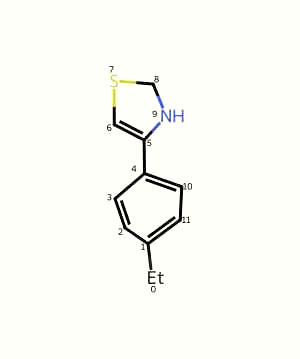 CCc1ccc(C2=CSCN2)cc1